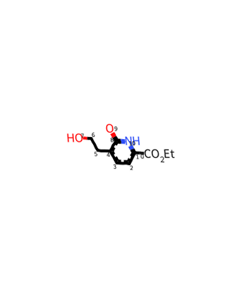 CCOC(=O)c1ccc(CCO)c(=O)[nH]1